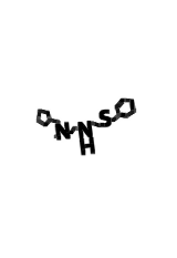 CN(CCNCCSCc1ccccc1)CC1CCCC1